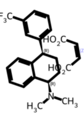 CN(C)[C@@H]1CC[C@H](c2cccc(C(F)(F)F)c2)c2ccccc21.O=C(O)/C=C\C(=O)O